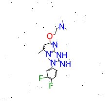 Cc1cc(OCCN(C)C)nc(NC(=N)N(C)c2ccc(F)c(F)c2)n1